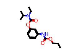 CCCOC(=O)Nc1cccc(OC(=O)N(CC)C(C)C)c1